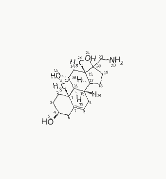 C[C@]12CC[C@H](O)CC1=CC[C@@H]1[C@@H]2[C@H](O)C[C@@]2(C)[C@H]1CCC2(O)CN